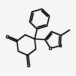 Cc1cc(C2(c3ccccc3)CC(=O)CC(=O)C2)on1